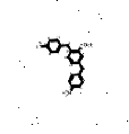 CCCCCCCCc1cc(Cc2ccc(N)cc2)ccc1Cc1ccc(CC)cc1